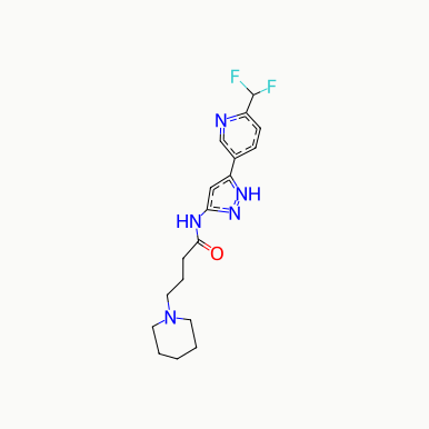 O=C(CCCN1CCCCC1)Nc1cc(-c2ccc(C(F)F)nc2)[nH]n1